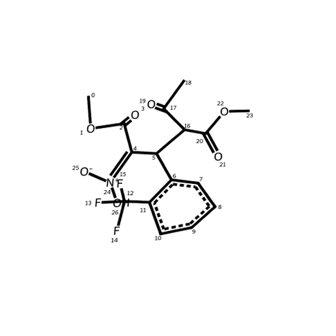 COC(=O)C(C(c1ccccc1C(F)(F)F)C(C(C)=O)C(=O)OC)=[N+]([O-])O